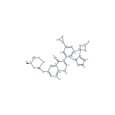 Cc1cc(CN2CCO[C@H](C)C2)cc2c(=O)c(-c3cc(C4(c5nncn5C)CC(C)C4)cc(C4CC4)n3)coc12